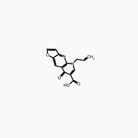 C=CCn1cc(C(=O)O)c(=O)c2cc3occc3nc21